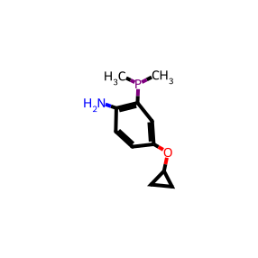 CP(C)c1cc(OC2CC2)ccc1N